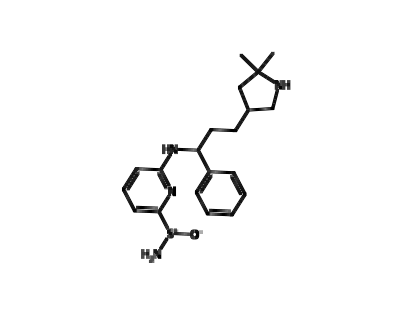 CC1(C)CC(CCC(Nc2cccc([S+](N)[O-])n2)c2ccccc2)CN1